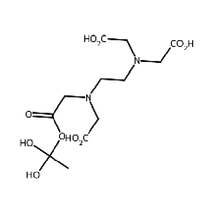 CC(O)(O)OC(=O)CN(CCN(CC(=O)O)CC(=O)O)CC(=O)O